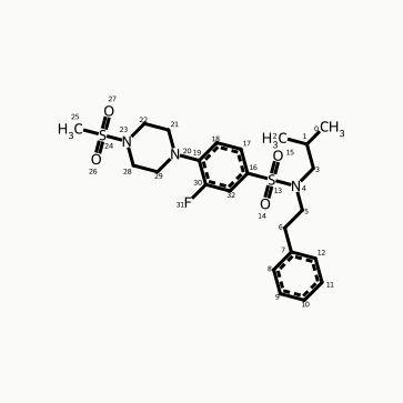 CC(C)CN(CCc1ccccc1)S(=O)(=O)c1ccc(N2CCN(S(C)(=O)=O)CC2)c(F)c1